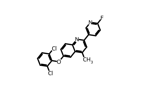 Cc1cc(-c2ccc(F)nc2)nc2ccc(Oc3c(Cl)cccc3Cl)cc12